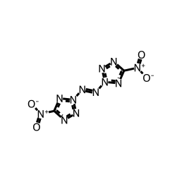 O=[N+]([O-])c1nnn(/N=N/n2nnc([N+](=O)[O-])n2)n1